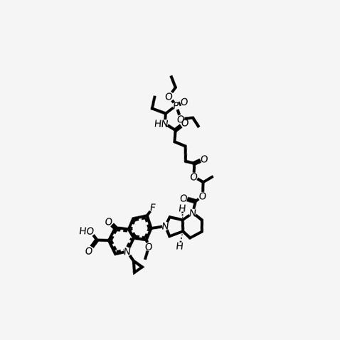 CCOP(=O)(OCC)C(CC)NC(=O)CCCC(=O)OC(C)OC(=O)N1CCC[C@H]2CN(c3c(F)cc4c(=O)c(C(=O)O)cn(C5CC5)c4c3OC)C[C@H]21